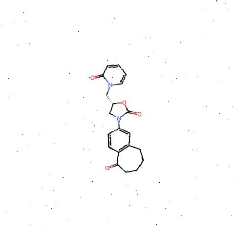 O=C1CCCCc2cc(N3C[C@H](Cn4ccccc4=O)OC3=O)ccc21